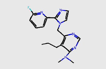 CCCc1c(Cn2ccnc2-c2cccc(F)n2)ncnc1N(C)C